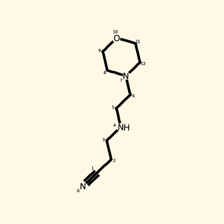 N#CCCNCCN1CCOCC1